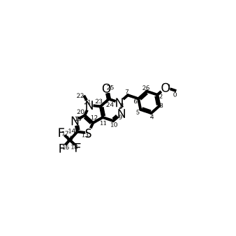 COc1cccc(Cn2ncc3c4sc(C(F)(F)F)nc4n(C)c3c2=O)c1